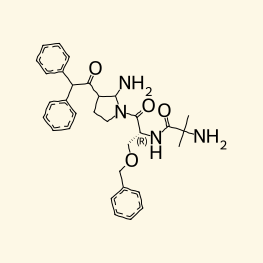 CC(C)(N)C(=O)N[C@H](COCc1ccccc1)C(=O)N1CCC(C(=O)C(c2ccccc2)c2ccccc2)C1N